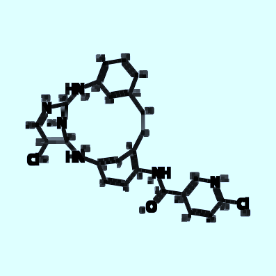 O=C(Nc1ccc2cc1CCc1cccc(c1)Nc1ncc(Cl)c(n1)N2)c1ccc(Cl)nc1